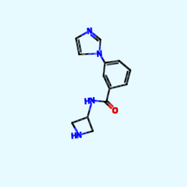 O=C(NC1CNC1)c1cccc(-n2ccnc2)c1